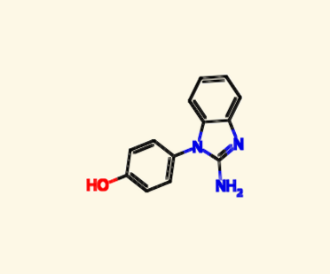 Nc1nc2ccccc2n1-c1ccc(O)cc1